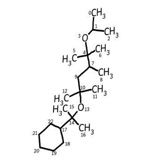 CC(C)OC(C)(C)C(C)CC(C)(C)OC(C)(C)C1CCCCC1